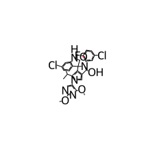 COc1ncc(-n2cc3c(c2C(C)C)C2(C(=O)Nc4cc(Cl)ccc42)N(c2cc(Cl)ccc2F)[C@H]3O)c(OC)n1